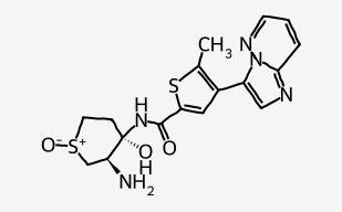 Cc1sc(C(=O)N[C@]2(O)CC[S+]([O-])C[C@@H]2N)cc1-c1cnc2cccnn12